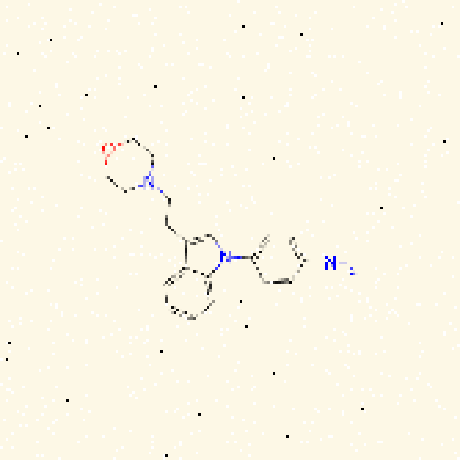 Nc1ccc(-n2cc(CCN3CCOCC3)c3ccccc32)cc1